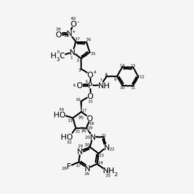 Cn1c(COP(=O)(NCc2ccccc2)OC[C@H]2O[C@@H](n3cnc4c(N)nc(F)nc43)C(O)C2O)ccc1[N+](=O)[O-]